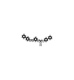 OC(COc1ccc(-c2ccccc2)cc1)COc1cccc(OCOc2ccc(-c3ccccc3)cc2)c1